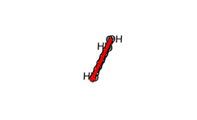 CC(C)(C)OC(=O)NCCOCCOCCOCCOCCOCCOCCOCCOCCC(=O)NCCCCCC(=O)O